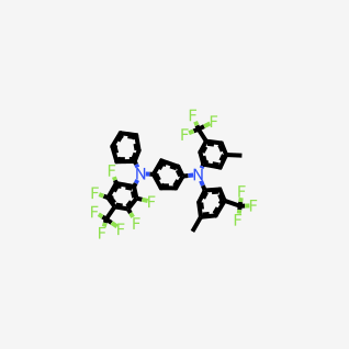 Cc1cc(N(c2ccc(N(c3ccccc3)c3c(F)c(F)c(C(F)(F)F)c(F)c3F)cc2)c2cc(C)cc(C(F)(F)F)c2)cc(C(F)(F)F)c1